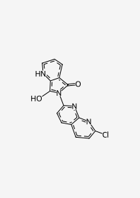 O=c1c2ccc[nH]c-2c(O)n1-c1ccc2ccc(Cl)nc2n1